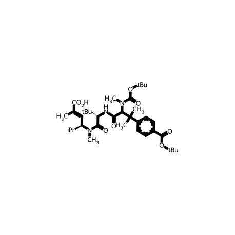 C/C(=C\[C@H](C(C)C)N(C)C(=O)[C@@H](NC(=O)C(N(C)C(=O)OC(C)(C)C)C(C)(C)c1ccc(C(=O)OC(C)(C)C)cc1)C(C)(C)C)C(=O)O